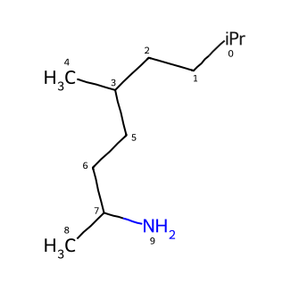 CC(C)CCC(C)CCC(C)N